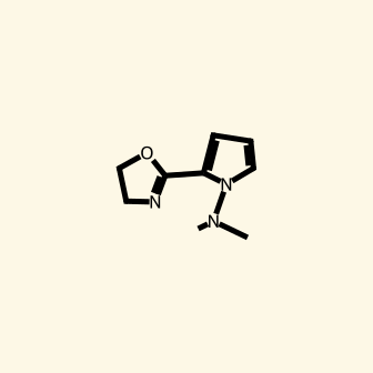 CN(C)n1cccc1C1=NCCO1